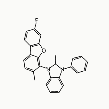 Cc1ccc2c(oc3cc(F)ccc32)c1N1c2ccccc2N(c2ccccc2)C1C